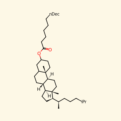 CCCCCCCCCCCCCCCC(=O)OC1CC[C@@]2(C)C(CC[C@H]3[C@@H]4CC[C@H]([C@H](C)CCCC(C)C)[C@@]4(C)CC[C@@H]32)C1